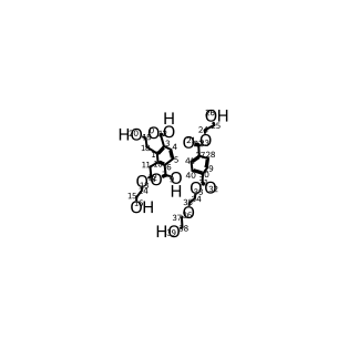 O=C(O)c1ccc(C(=O)O)c(CCOCCO)c1CCO.O=C(OCCO)c1ccc(C(=O)OCCOCCO)cc1